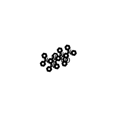 c1ccc(N(c2ccccc2)c2cc3c4c(c2)N(c2ccccc2)c2c(cc5c6c2CCCN6c2cc(N(c6ccccc6)c6ccccc6)cc6c2B5c2ccccc2N6c2ccccc2)B4c2ccccc2O3)cc1